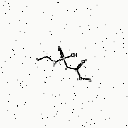 CCOP(=O)(O)CC(=O)OC